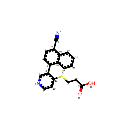 N#Cc1ccc(-c2cnccc2SCCC(=O)O)c2ccccc12